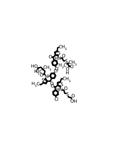 CCc1cc(C(=O)c2ccc(Cl)cc2)c(NC(=O)CC(C)(C)CC(=O)O)s1.CCc1cc(C(=O)c2ccc(Cl)cc2)c(NC(=O)CSC(C)(C)C(=O)O)s1.CCc1cc(C(=O)c2ccc(Cl)cc2)c(NC(=O)CSCC(=O)O)s1